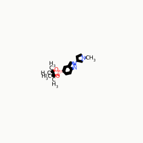 CN1CC[C@H](n2cc3cc(B4OC(C)(C)C(C)(C)O4)ccc3n2)C1